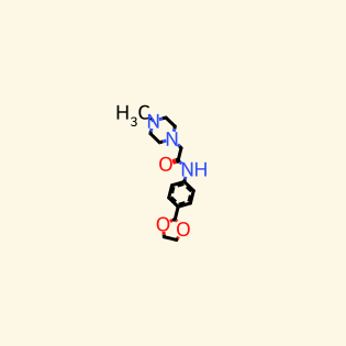 CN1CCN(CC(=O)Nc2ccc(C3OCCO3)cc2)CC1